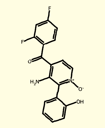 Nc1c(C(=O)c2ccc(F)cc2F)cc[n+]([O-])c1-c1ccccc1O